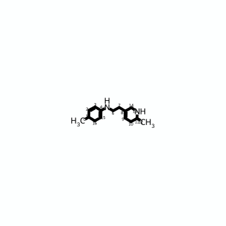 CC1C=CC(NCCC2=CCC(C)NC2)=CC1